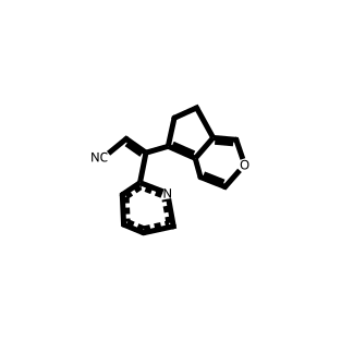 N#CC=C(C1=C2C=COC=C2CC1)c1ccccn1